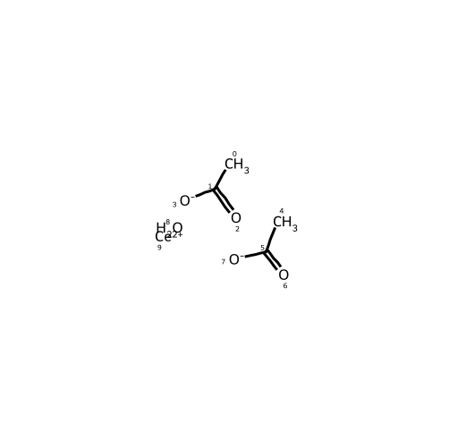 CC(=O)[O-].CC(=O)[O-].O.[Ce+2]